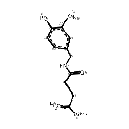 C=C(CCCCCCCCC)CCC(=O)NCc1ccc(O)c(OC)c1